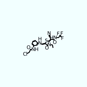 CCn1c(=C(C#N)C(=O)NCC(F)(F)F)sc(=CNc2cccc(NC(=O)CCl)c2)c1=O